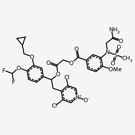 COc1ccc(C(=O)OCC(=O)OC(Cc2c(Cl)c[n+]([O-])cc2Cl)c2ccc(OC(F)F)c(OCC3CC3)c2)cc1N(CC(N)=O)S(C)(=O)=O